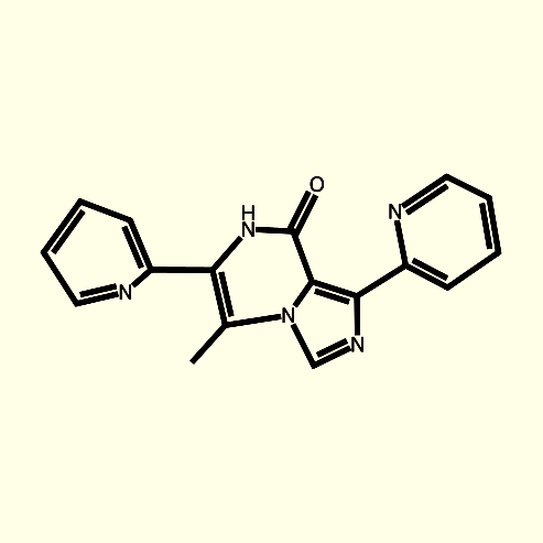 Cc1c(-c2ccccn2)[nH]c(=O)c2c(-c3ccccn3)ncn12